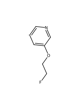 FCCOc1c[c]cnc1